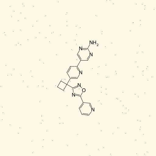 Nc1ncc(-c2ccc(C3(c4noc(-c5cccnc5)n4)CCC3)cn2)cn1